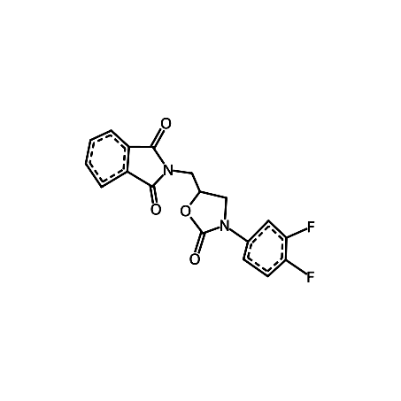 O=C1c2ccccc2C(=O)N1CC1CN(c2ccc(F)c(F)c2)C(=O)O1